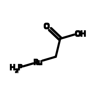 O=C(O)[CH2][Ru][PH2]